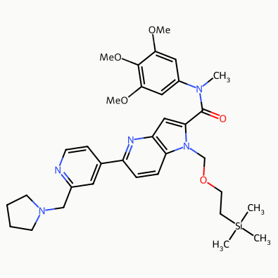 COc1cc(N(C)C(=O)c2cc3nc(-c4ccnc(CN5CCCC5)c4)ccc3n2COCC[Si](C)(C)C)cc(OC)c1OC